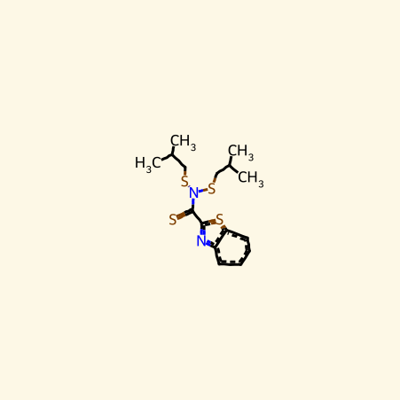 CC(C)CSN(SCC(C)C)C(=S)c1nc2ccccc2s1